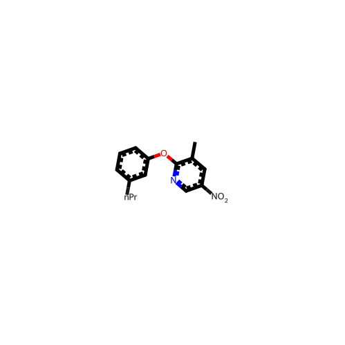 CCCc1cccc(Oc2ncc([N+](=O)[O-])cc2C)c1